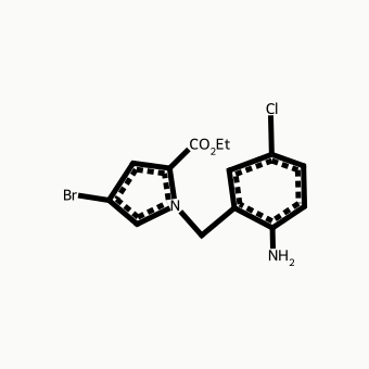 CCOC(=O)c1cc(Br)cn1Cc1cc(Cl)ccc1N